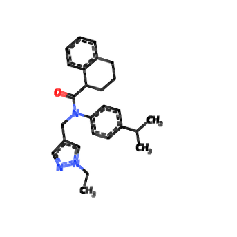 CCn1cc(CN(C(=O)C2CCCc3ccccc32)c2ccc(C(C)C)cc2)cn1